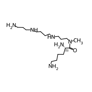 CN(CCCNCCCCNCCCN)C(=O)[C@@H](N)CCCCN